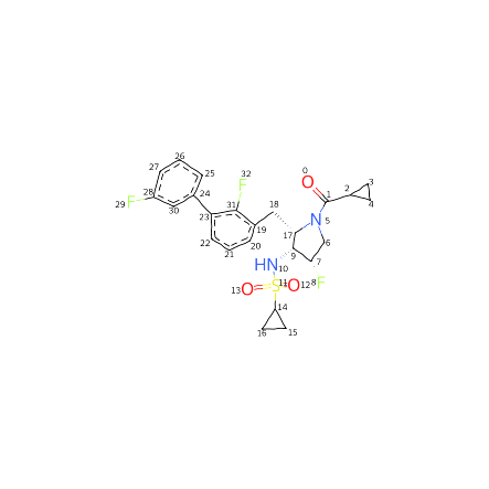 O=C(C1CC1)N1C[C@H](F)[C@H](NS(=O)(=O)C2CC2)[C@@H]1Cc1cccc(-c2cccc(F)c2)c1F